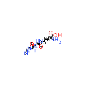 [N-]=[N+]=NCC(=O)NCC(=O)NCCCC[C@H](N)C(=O)O